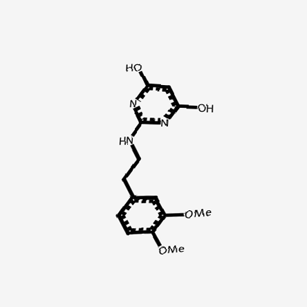 COc1ccc(CCNc2nc(O)cc(O)n2)cc1OC